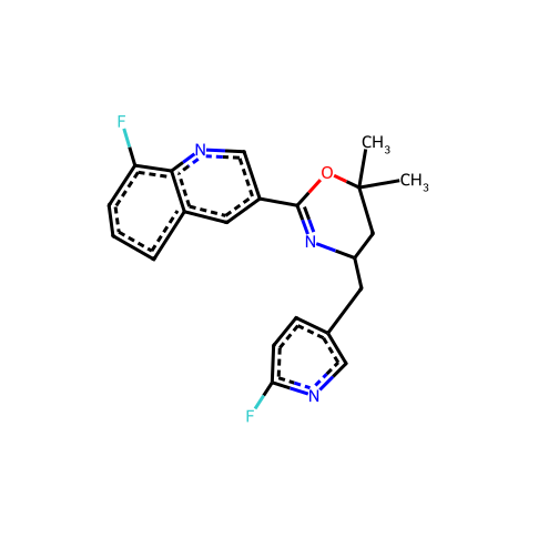 CC1(C)CC(Cc2ccc(F)nc2)N=C(c2cnc3c(F)cccc3c2)O1